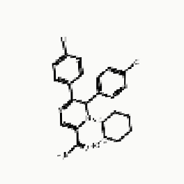 NC(=O)C1=CN=C(c2ccc(Cl)cc2)C(c2ccc(Cl)cc2)N1[C@@H]1CCCC[C@@H]1O